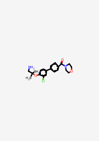 BC(B)(CN)Oc1ccc(-c2ccc(C(=O)N3CCOCC3)cc2)cc1Cl